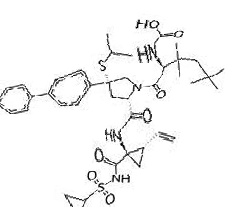 C=C[C@@H]1C[C@]1(NC(=O)[C@@H]1C[C@@](SC(C)C)(c2ccc(-c3ccccc3)cc2)CN1C(=O)[C@@H](NC(=O)O)C(C)(C)CC(C)(C)C)C(=O)NS(=O)(=O)C1CC1